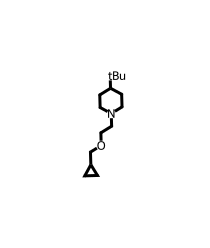 CC(C)(C)C1CCN(CCOCC2CC2)CC1